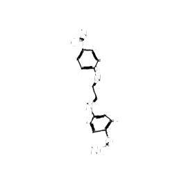 N#COc1ccc(N=CC=Nc2cc[c]([Co]#[N])cc2)cc1